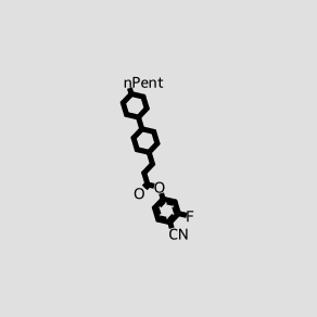 CCCCCC1CCC(C2CCC(CCC(=O)Oc3ccc(C#N)c(F)c3)CC2)CC1